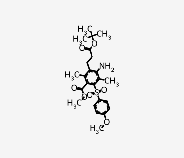 COC(=O)c1c(C)c(CCC(=O)OC(C)(C)C)c(N)c(C)c1S(=O)(=O)c1ccc(OC)cc1